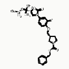 CC(C)(C)[SiH2]OC(C)(C)[C@H]1CN(c2ccc(OCC3CCN(C(=O)OCc4ccccc4)C3)c(F)c2)C(=O)O1